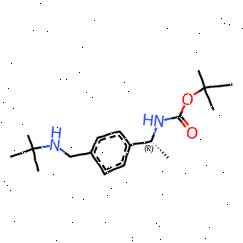 C[C@@H](NC(=O)OC(C)(C)C)c1ccc(CNC(C)(C)C)cc1